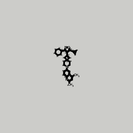 Cc1cc(C)c2cc(N3CCC4(C=C(c5c(C6CCCCC6)noc5C5CC5)C4)CC3)ccc2n1